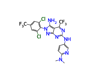 CN(C)c1ccc(Nc2nc(C(F)(F)F)c3c(N)n(-c4c(Cl)cc(C(F)(F)F)cc4Cl)nc3n2)cn1